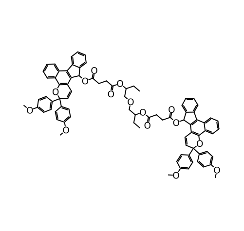 CCC(COCC(CC)OC(=O)CCC(=O)OC1c2ccccc2-c2c1c1c(c3ccccc23)OC(c2ccc(OC)cc2)(c2ccc(OC)cc2)C=C1)OC(=O)CCC(=O)OC1c2ccccc2-c2c1c1c(c3ccccc23)OC(c2ccc(OC)cc2)(c2ccc(OC)cc2)C=C1